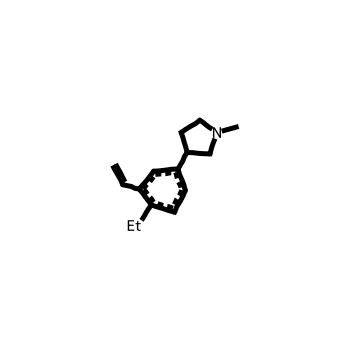 C=Cc1cc(C2CCN(C)C2)ccc1CC